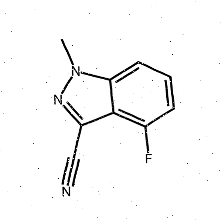 Cn1nc(C#N)c2c(F)cccc21